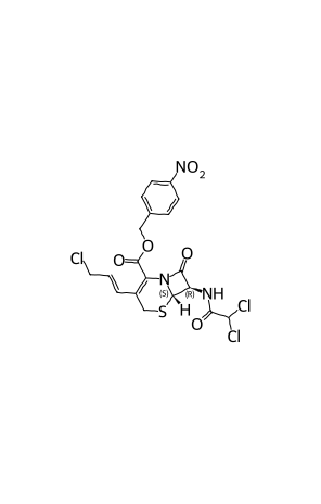 O=C(OCc1ccc([N+](=O)[O-])cc1)C1=C(C=CCCl)CS[C@H]2[C@H](NC(=O)C(Cl)Cl)C(=O)N12